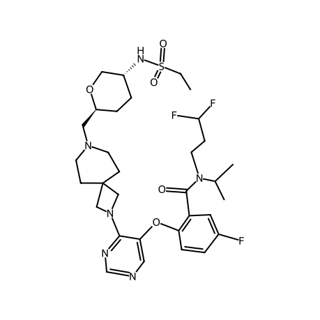 CCS(=O)(=O)N[C@@H]1CC[C@@H](CN2CCC3(CC2)CN(c2ncncc2Oc2ccc(F)cc2C(=O)N(CCC(F)F)C(C)C)C3)OC1